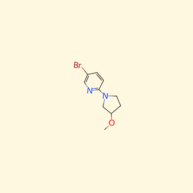 COC1CCN(c2ccc(Br)cn2)C1